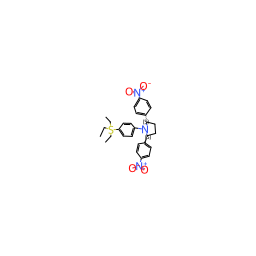 CCS(CC)(CC)c1ccc(N2[C@H](c3ccc([N+](=O)[O-])cc3)CC[C@H]2c2ccc([N+](=O)[O-])cc2)cc1